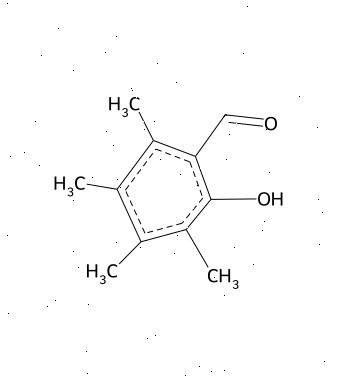 Cc1c(C)c(C)c(C=O)c(O)c1C